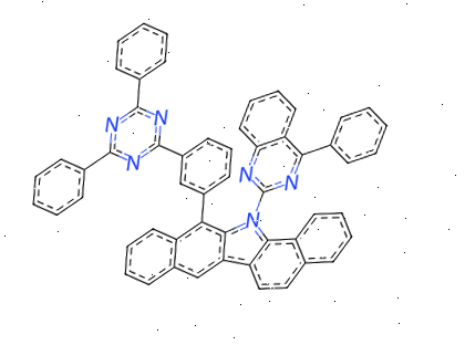 c1ccc(-c2nc(-c3ccccc3)nc(-c3cccc(-c4c5ccccc5cc5c6ccc7ccccc7c6n(-c6nc(-c7ccccc7)c7ccccc7n6)c45)c3)n2)cc1